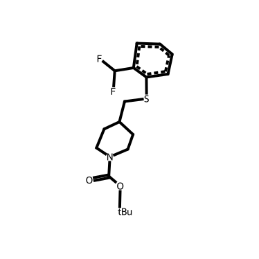 CC(C)(C)OC(=O)N1CCC(CSc2ccccc2C(F)F)CC1